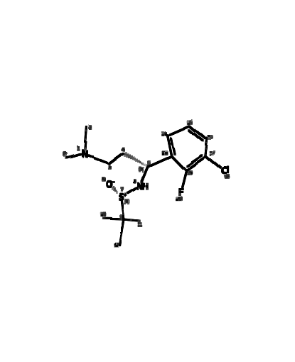 CN(C)CC[C@@H](N[S@@+]([O-])C(C)(C)C)c1cccc(Cl)c1F